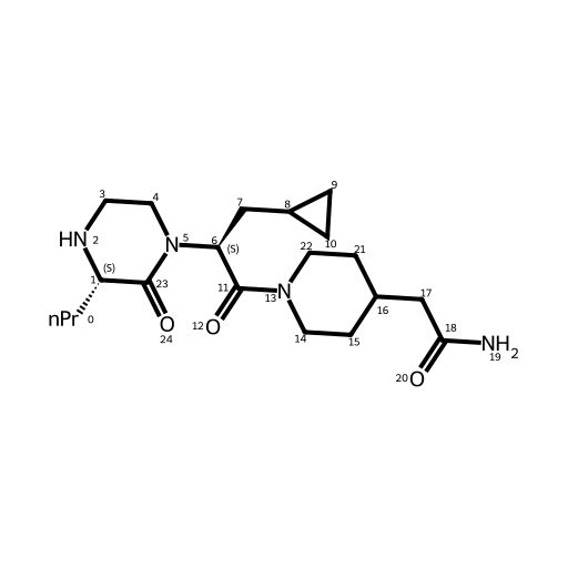 CCC[C@@H]1NCCN([C@@H](CC2CC2)C(=O)N2CCC(CC(N)=O)CC2)C1=O